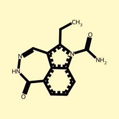 CCc1c2c3c(c[c]cc3n1C(N)=O)C(=O)NN=C2